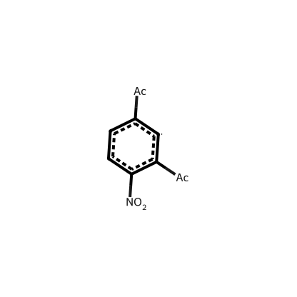 CC(=O)c1[c]c(C(C)=O)c([N+](=O)[O-])cc1